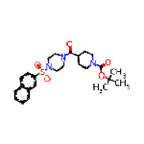 CC(C)(C)OC(=O)N1CCC(C(=O)N2CCN(S(=O)(=O)c3ccc4ccccc4c3)CC2)CC1